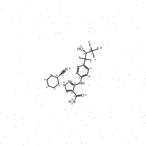 CC(C)(c1ccc(Nc2nn([C@@H]3CCCC[C@H]3C#N)cc2C(N)=O)cc1)[C@@H](O)C(F)(F)F